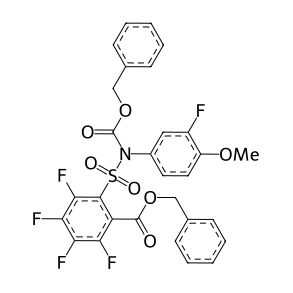 COc1ccc(N(C(=O)OCc2ccccc2)S(=O)(=O)c2c(F)c(F)c(F)c(F)c2C(=O)OCc2ccccc2)cc1F